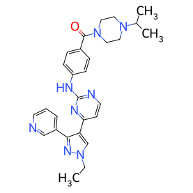 CCn1cc(-c2ccnc(Nc3ccc(C(=O)N4CCN(C(C)C)CC4)cc3)n2)c(-c2cccnc2)n1